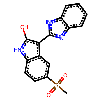 CS(=O)(=O)c1ccc2[nH]c(O)c(-c3nc4ccccc4[nH]3)c2c1